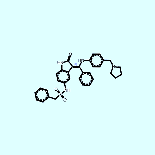 O=C1Nc2ccc(NS(=O)(=O)Cc3ccccc3)cc2/C1=C(/Nc1ccc(CN2CCCC2)cc1)c1ccccc1